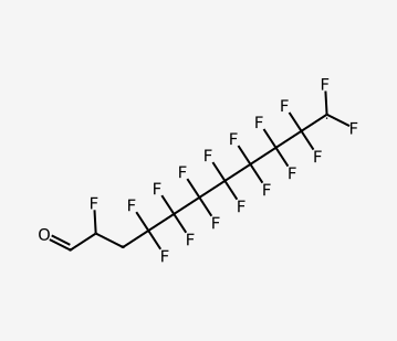 O=CC(F)CC(F)(F)C(F)(F)C(F)(F)C(F)(F)C(F)(F)C(F)(F)C(F)(F)[C](F)F